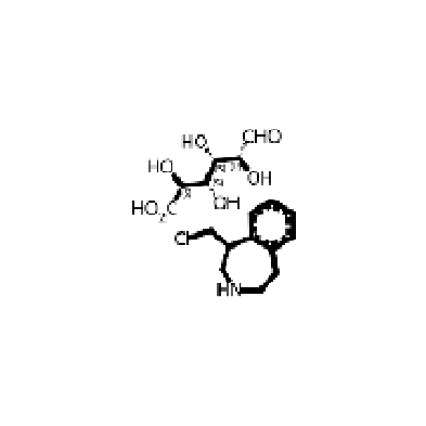 ClCC1CNCCc2ccccc21.O=C[C@H](O)[C@@H](O)[C@H](O)[C@H](O)C(=O)O